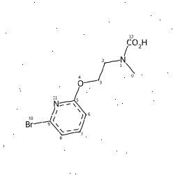 CN(CCOc1cccc(Br)n1)C(=O)O